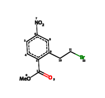 COC(=O)c1ccc([N+](=O)[O-])cc1CCBr